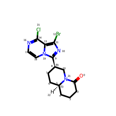 O=C1CCC[C@H]2CC[C@@H](c3nc(Br)c4c(Cl)nccn34)CN12